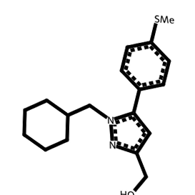 CSc1ccc(-c2cc(CO)nn2CC2CCCCC2)cc1